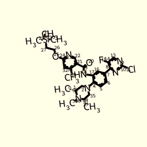 C[C@@H]1CN(c2ccc(-c3nc(Cl)ncc3F)cc2NC(=O)c2cnc(OCC[Si](C)(C)C)cc2C(F)(F)F)C[C@H](C)N1C